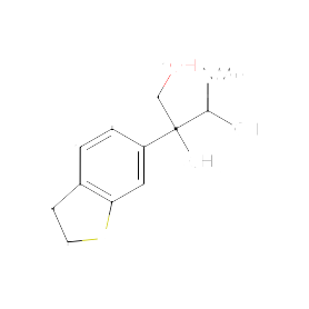 CNC(C)C(C)(CO)c1ccc2c(c1)SCC2